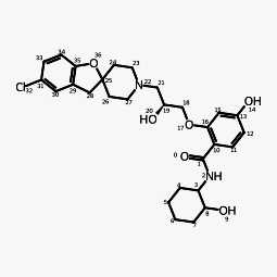 O=C(NC1CCCCC1O)c1ccc(O)cc1OC[C@@H](O)CN1CCC2(CC1)Cc1cc(Cl)ccc1O2